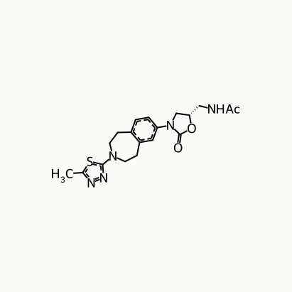 CC(=O)NC[C@H]1CN(c2ccc3c(c2)CCN(c2nnc(C)s2)CC3)C(=O)O1